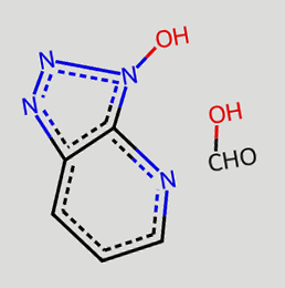 O=CO.On1nnc2cccnc21